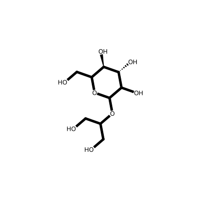 OCC(CO)OC1OC(CO)[C@@H](O)[C@H](O)C1O